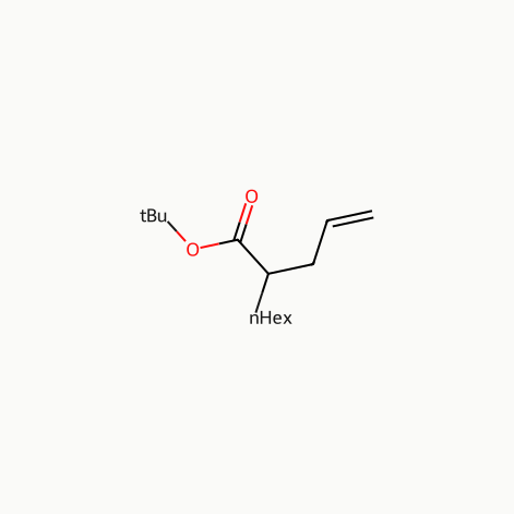 C=CCC(CCCCCC)C(=O)OC(C)(C)C